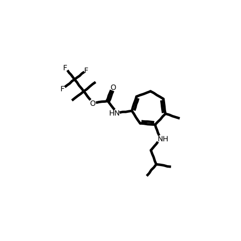 CC1=CCC=C(NC(=O)OC(C)(C)C(F)(F)F)C=C1NCC(C)C